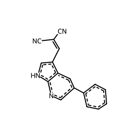 N#CC(C#N)=Cc1c[nH]c2ncc(-c3ccccc3)cc12